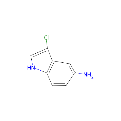 Nc1ccc2[nH]cc(Cl)c2c1